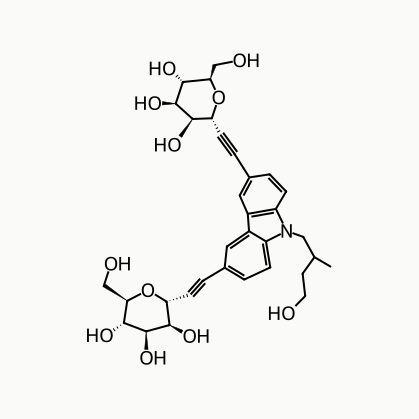 CC(CCO)Cn1c2ccc(C#C[C@H]3O[C@H](CO)[C@@H](O)[C@H](O)[C@@H]3O)cc2c2cc(C#C[C@H]3O[C@H](CO)[C@@H](O)[C@H](O)[C@@H]3O)ccc21